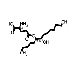 CCCCCCC[C@H](O)[C@@H](CCCCC)OC(=O)CC[C@H](N)C(=O)O